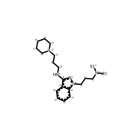 CCN(CC)CCCn1nc(NCCCN2CCCCC2)c2ccccc21